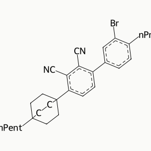 CCCCCC12CCC(c3ccc(-c4ccc(CCC)c(Br)c4)c(C#N)c3C#N)(CC1)CC2